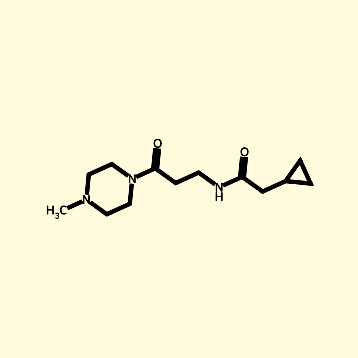 CN1CCN(C(=O)CCNC(=O)CC2CC2)CC1